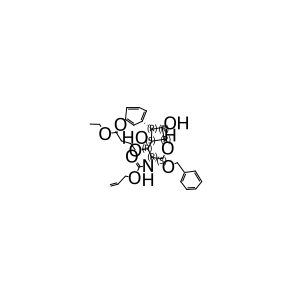 C=CCOC(=O)N[C@H]1[C@@H](OCc2ccccc2)O[C@@H]2[C@H](O)[C@@H](c3ccccc3)[C@]2(O)[C@@H]1OCCC(=O)OCC